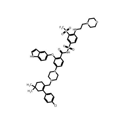 CC1(C)CCC(CN2CCN(c3ccc(C(=O)NS(=O)(=O)c4ccc(NCCN5CCOCC5)c(S(=O)(=O)C(F)(F)F)c4)c(Oc4ccc5[nH]ccc5c4)c3)CC2)=C(c2ccc(Cl)cc2)C1